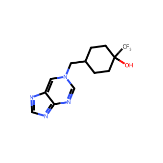 OC1(C(F)(F)F)CCC(Cn2cnc3ncnc-3c2)CC1